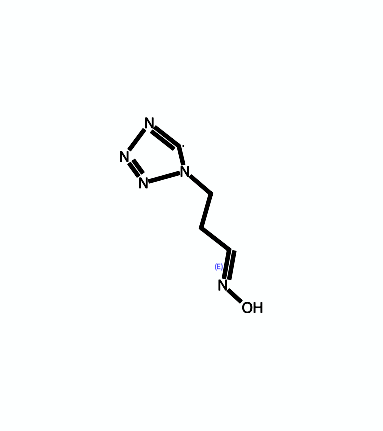 O/N=C/CCn1[c]nnn1